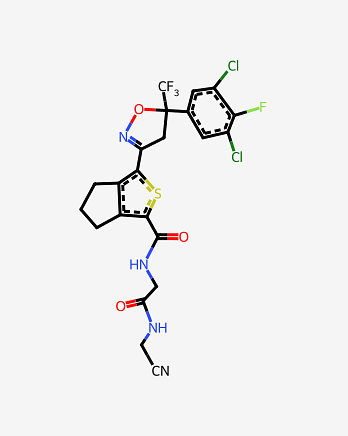 N#CCNC(=O)CNC(=O)c1sc(C2=NOC(c3cc(Cl)c(F)c(Cl)c3)(C(F)(F)F)C2)c2c1CCC2